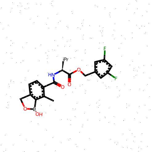 Cc1c(C(=O)N[C@H](C(=O)OCc2cc(F)cc(F)c2)C(C)C)ccc2c1B(O)OC2